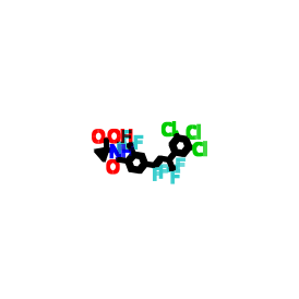 O=C(NC1(C(=O)O)CC1)c1ccc(/C(F)=C/C(c2cc(Cl)c(Cl)c(Cl)c2)C(F)(F)F)cc1C(F)(F)F